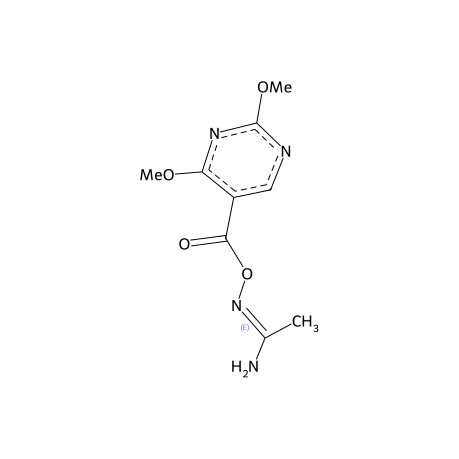 COc1ncc(C(=O)O/N=C(\C)N)c(OC)n1